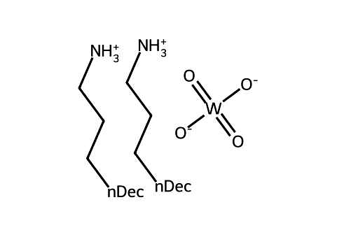 CCCCCCCCCCCCC[NH3+].CCCCCCCCCCCCC[NH3+].[O]=[W](=[O])([O-])[O-]